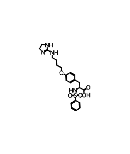 O=C(O)[C@H](Cc1ccc(OCCCCNC2=NCCN2)cc1)NS(=O)(=O)c1ccccc1